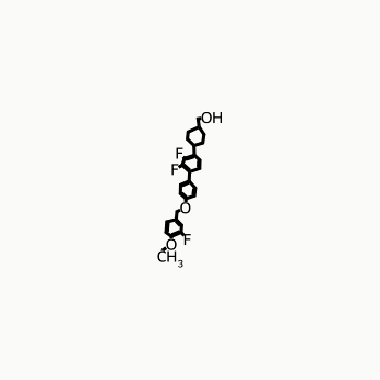 CCOc1ccc(COc2ccc(-c3ccc(C4CCC(CO)CC4)c(F)c3F)cc2)cc1F